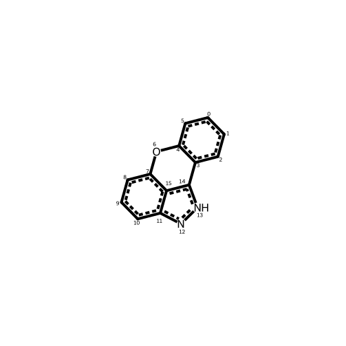 c1ccc2c(c1)Oc1cccc3n[nH]c-2c13